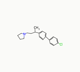 CC(CCN1CCCC1)c1ccc(-c2ccc(Cl)cc2)cc1